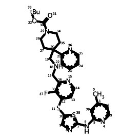 Cc1ccnc(Nc2ncc(Sc3ccnc(CNCC4(c5ccccn5)CCN(C(=O)OC(C)(C)C)CC4)c3F)s2)c1